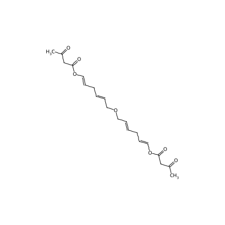 CC(=O)CC(=O)OC=CCC=CCOCC=CCC=COC(=O)CC(C)=O